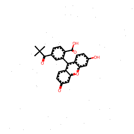 CC(C)(C)C(=O)c1ccc(C(=O)O)c(-c2c3ccc(=O)cc-3oc3cc(O)ccc23)c1